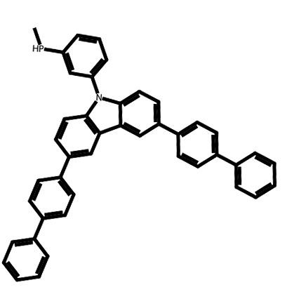 CPc1cccc(-n2c3ccc(-c4ccc(-c5ccccc5)cc4)cc3c3cc(-c4ccc(-c5ccccc5)cc4)ccc32)c1